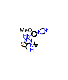 COc1cc(N2CCN(C)CC2)ccc1Nc1nc(NC2(C)CC2)c2c(C)csc2n1